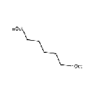 CCCCCC[CH]CCCCCCCCCCCCCC